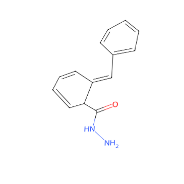 NNC(=O)C1C=CC=CC1=Cc1ccccc1